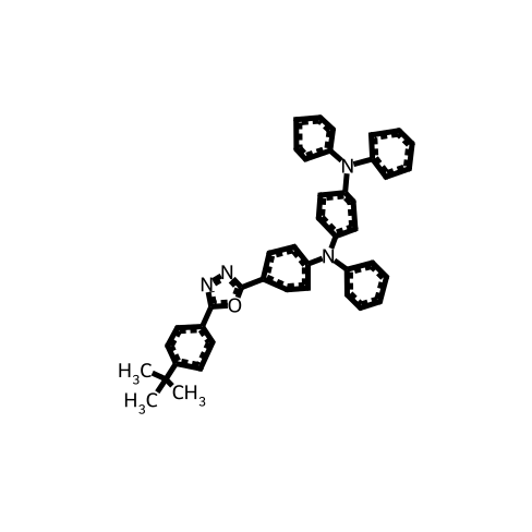 CC(C)(C)c1ccc(-c2nnc(-c3ccc(N(c4ccccc4)c4ccc(N(c5ccccc5)c5ccccc5)cc4)cc3)o2)cc1